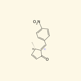 C[C@H]1C=CC(=O)/C1=C/c1ccc([N+](=O)[O-])cc1